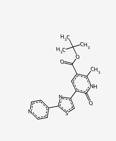 Cc1[nH]c(=O)c(-c2csc(-c3ccncc3)n2)cc1C(=O)OC(C)(C)C